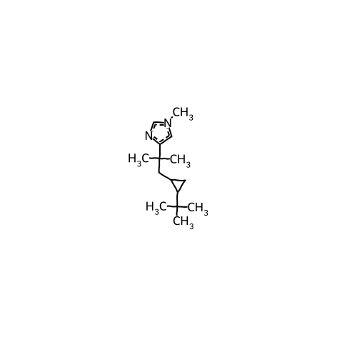 Cn1cnc(C(C)(C)CC2CC2C(C)(C)C)c1